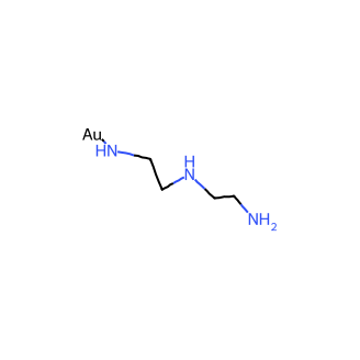 NCCNCC[NH][Au]